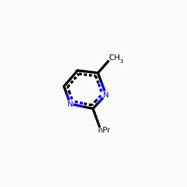 CCCc1nc[c]c(C)n1